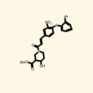 COC(=O)C1CN(C(=O)C=Cc2ccc(Sc3ccccc3C(C)C)c([N+](=O)[O-])c2)CCC1O